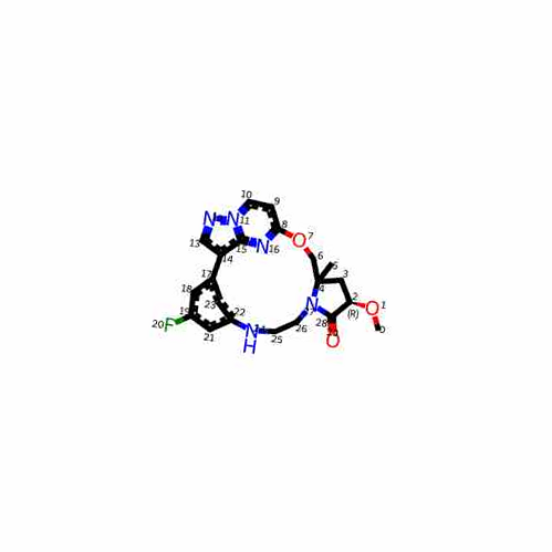 CO[C@@H]1CC2(C)COc3ccn4ncc(c4n3)-c3cc(F)cc(c3)NCCN2C1=O